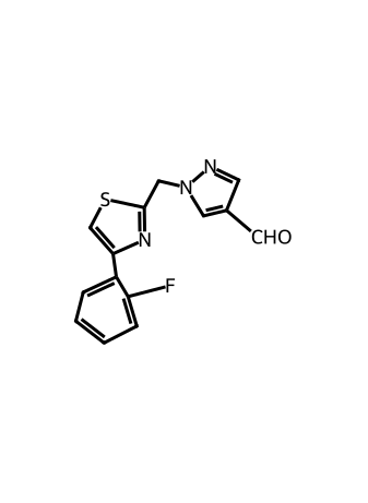 O=Cc1cnn(Cc2nc(-c3ccccc3F)cs2)c1